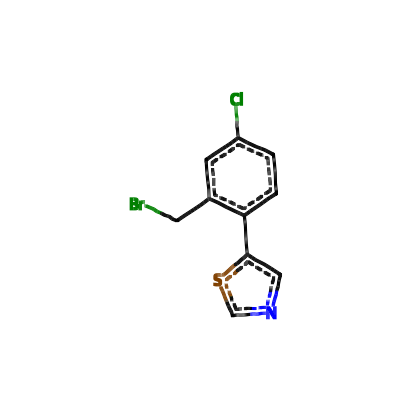 Clc1ccc(-c2cncs2)c(CBr)c1